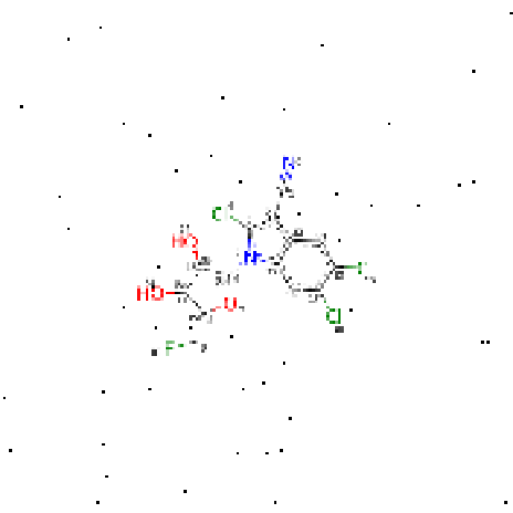 N#Cc1c(Cl)n([C@@H]2O[C@H](CF)[C@@H](O)[C@H]2O)c2cc(Cl)c(Cl)cc12